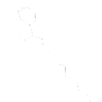 CCCCCCCCCCN(C)c1ccccc1